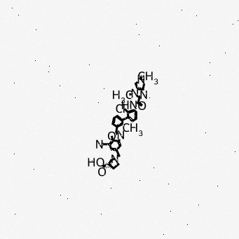 Cc1c(-c2nc3cc(CN4CC[C@H](C(=O)O)C4)cc(C#N)c3o2)cccc1-c1cccc(NC(=O)c2nc3c(n2C)CN(C)C3)c1Cl